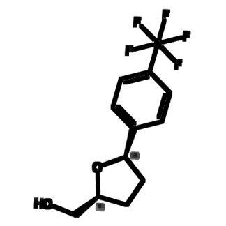 OC[C@@H]1CC[C@H](c2ccc(S(F)(F)(F)(F)F)cc2)O1